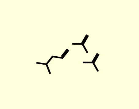 C=C(C)C.C=C(C)C.C=CCC(C)C